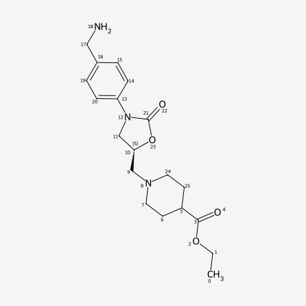 CCOC(=O)C1CCN(C[C@H]2CN(c3ccc(CN)cc3)C(=O)O2)CC1